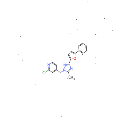 Cc1nc(-c2ccc(-c3ccccc3)o2)nn1Cc1ccnc(Cl)c1